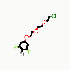 CCc1c(F)cc(OCCOCCOCCCl)cc1F